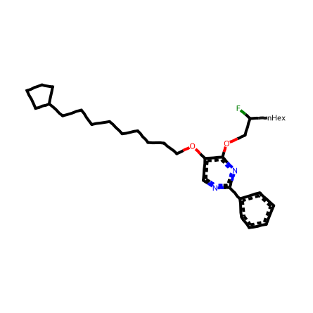 CCCCCCC(F)COc1nc(-c2ccccc2)ncc1OCCCCCCCCCC1CCCC1